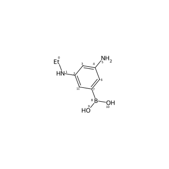 CCNc1cc(N)cc(B(O)O)c1